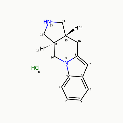 Cl.c1ccc2c(c1)cc1n2C[C@H]2CNC[C@@H]2C1